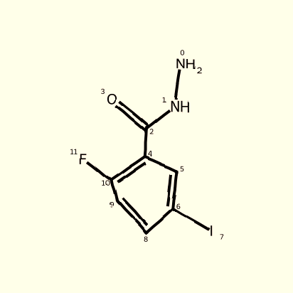 NNC(=O)c1cc(I)ccc1F